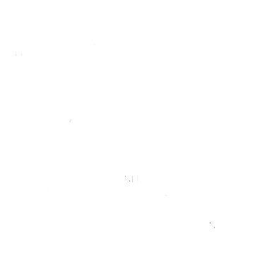 COc1cc(/C=C/c2cc(Cl)c(OC)c(N/C=C\C(=O)c3cn(C)c4ccccc34)c2)cc(OC)c1OC